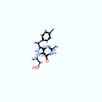 Cc1ccc(C(C)c2nn([C@H](C)CO)c3c(=O)[nH]c(C)nc23)cc1